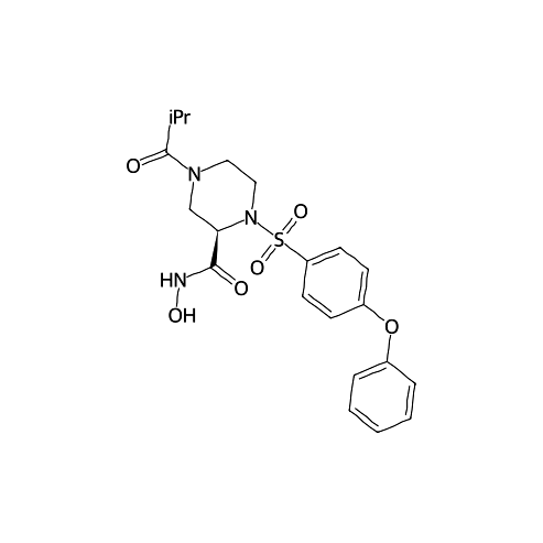 CC(C)C(=O)N1CCN(S(=O)(=O)c2ccc(Oc3ccccc3)cc2)[C@@H](C(=O)NO)C1